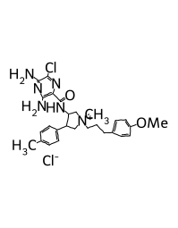 COc1ccc(CCC[N+]2(C)CC(NC(=O)c3nc(Cl)c(N)nc3N)C(c3ccc(C)cc3)C2)cc1.[Cl-]